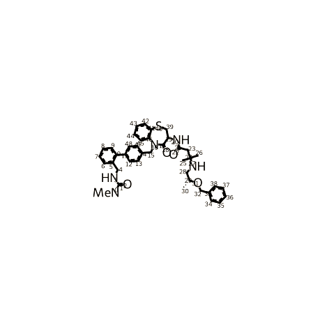 CNC(=O)NCc1ccccc1-c1ccc(CN2C(=O)[C@H](NC(=O)CC(C)(C)NC[C@@H](C)OCc3ccccc3)CSc3ccccc32)cc1